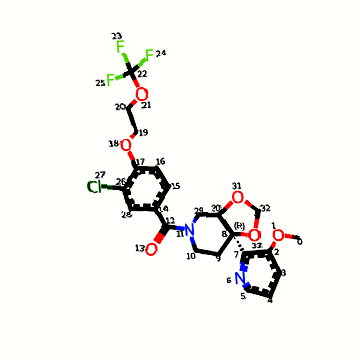 COc1cccnc1[C@]12CCN(C(=O)c3ccc(OCCOC(F)(F)F)c(Cl)c3)CC1OCO2